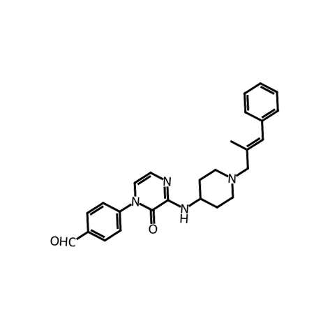 C/C(=C\c1ccccc1)CN1CCC(Nc2nccn(-c3ccc(C=O)cc3)c2=O)CC1